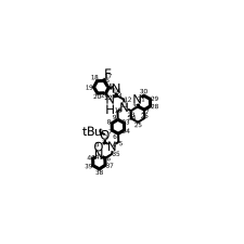 CC(C)(C)OC(=O)N(Cc1ccc(CN(Cc2nc3c(F)cccc3[nH]2)C2CCCc3cccnc32)cc1)Cc1ccccn1